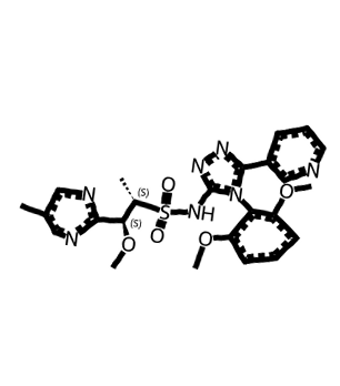 COc1cccc(OC)c1-n1c(NS(=O)(=O)[C@@H](C)[C@@H](OC)c2ncc(C)cn2)nnc1-c1cccnc1